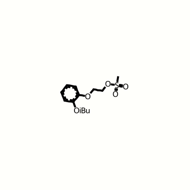 CC(C)COc1ccccc1OCCOS(C)(=O)=O